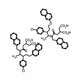 CC(C(CCOc1ccc2ccccc2c1)c1ccc(Cl)cc1)N(Cc1ccc2ccccc2c1)C(=O)CC(CC(=O)O)C(=O)O.CC(C(CCc1ccc2ccccc2c1)c1ccc(Cl)cc1)N(Cc1ccc2ccccc2c1)C(=O)CC(CC(=O)O)C(=O)O